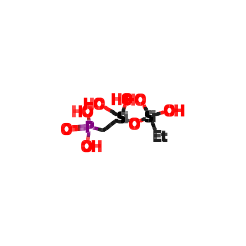 CC[Si](O)(O)O[Si](O)(O)CP(=O)(O)O